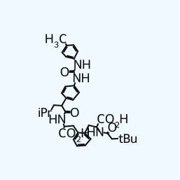 Cc1ccc(NC(=O)Nc2ccc(C(CC(C)C)C(=O)NC(Cc3ccccc3CC(NC(=O)CC(C)(C)C)C(=O)O)C(=O)O)cc2)cc1